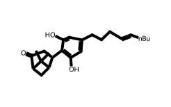 CCCC/C=C/CCCc1cc(O)c(C2CC(=O)C3CC2C3(C)C)c(O)c1